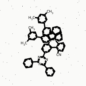 Cc1cc(C)cc(-c2ccc3c(c2)c2ccccc2n3-c2ccc(-c3nc(-c4ccccc4)nc(-c4ccccc4)n3)cc2-c2c(C#N)cccc2-n2c3ccccc3c3cc(-c4cc(C)cc(C)c4)ccc32)c1